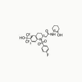 O=C(C[C@@H]1CCc2cc(C(O)(C(F)(F)F)C(F)(F)F)ccc2N1S(=O)(=O)c1ccc(F)cc1)N[C@@H]1CCCC[C@@H]1O